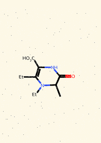 CCC1=C(C(=O)O)NC(=O)C(C)N1CC